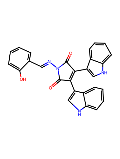 O=C1C(c2c[nH]c3ccccc23)=C(c2c[nH]c3ccccc23)C(=O)N1/N=C/c1ccccc1O